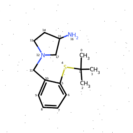 CC(C)(C)Sc1ccccc1CN1CCC(N)C1